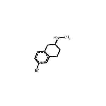 CN[C@H]1CCc2cc(Br)ccc2C1